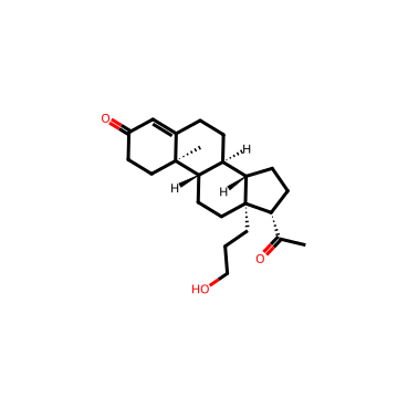 CC(=O)[C@H]1CC[C@H]2[C@@H]3CCC4=CC(=O)CC[C@]4(C)[C@H]3CC[C@]12CCCO